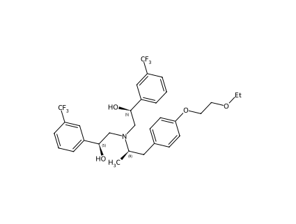 CCOCCOc1ccc(C[C@@H](C)N(C[C@@H](O)c2cccc(C(F)(F)F)c2)C[C@@H](O)c2cccc(C(F)(F)F)c2)cc1